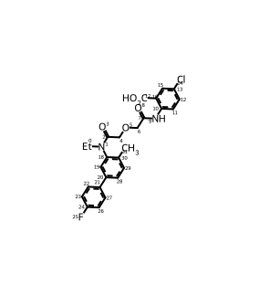 CCN(C(=O)COCC(=O)Nc1ccc(Cl)cc1C(=O)O)c1cc(-c2ccc(F)cc2)ccc1C